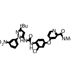 CNC(=O)c1cc(Oc2ccc(NC(=O)Nc3cc(C(C)(C)C)nn3-c3cccc([N+](=O)[O-])c3)c(Cl)c2)ccn1